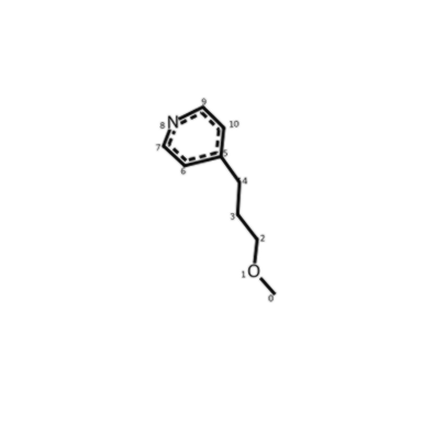 COCC[CH]c1ccncc1